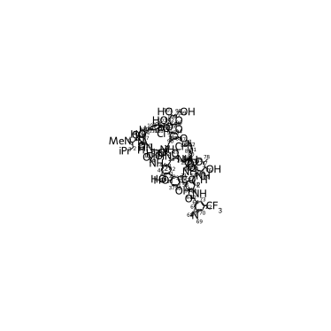 CN[C@H](CC(C)C)C(=O)N[C@H]1C(=O)N[C@@H](CC(N)=O)C(=O)NC2C(=O)NC3C(=O)N[C@H](C(=O)N[C@@H](C(=O)O)c4cc(O)cc(O)c4-c4cc3ccc4O)[C@H](O[C@H]3CC(C)(NCc4cccc(NC(=O)c5cc(N(C)C)cc(C(F)(F)F)c5)c4)[C@H](O)[C@H](C)O3)c3ccc(c(Cl)c3)Oc3cc2cc(c3OC2O[C@H](CO)[C@@H](O)[C@@H](O)[C@H]2O)Oc2ccc(cc2Cl)[C@H]1O